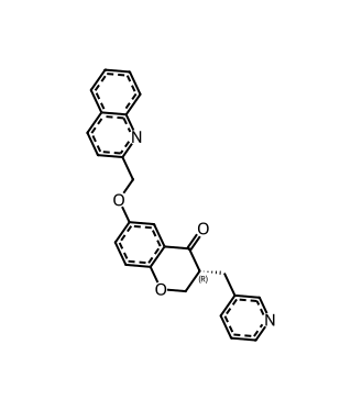 O=C1c2cc(OCc3ccc4ccccc4n3)ccc2OC[C@H]1Cc1cccnc1